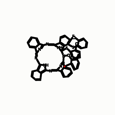 Cc1cccc(C)c1ON1C2=N/C(=N\c3[nH]c(c4ccccc34)/N=C3N=C(/N=C4\NC1(Sc1ccccc1Cl)c1c4ccc(F)c1Sc1ccccc1Cl)c1ccccc1\3)c1ccccc12